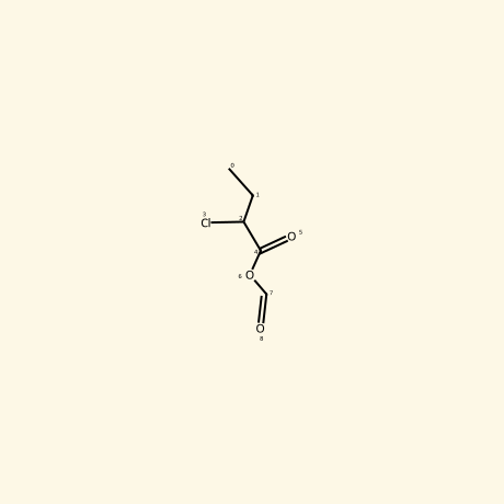 CCC(Cl)C(=O)OC=O